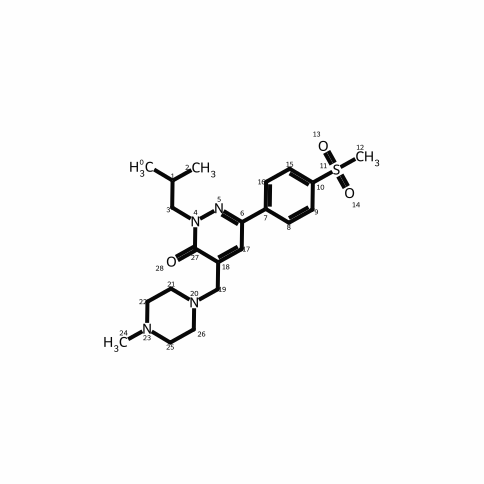 CC(C)Cn1nc(-c2ccc(S(C)(=O)=O)cc2)cc(CN2CCN(C)CC2)c1=O